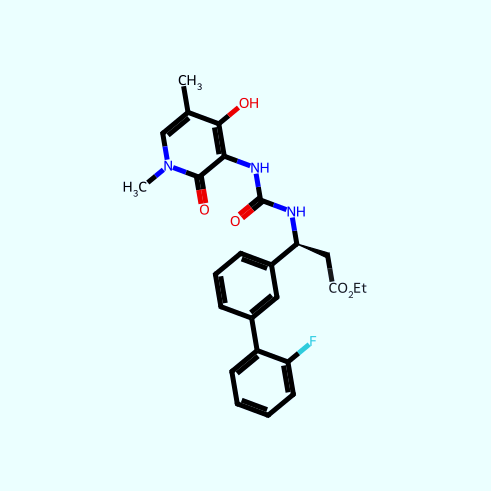 CCOC(=O)C[C@H](NC(=O)Nc1c(O)c(C)cn(C)c1=O)c1cccc(-c2ccccc2F)c1